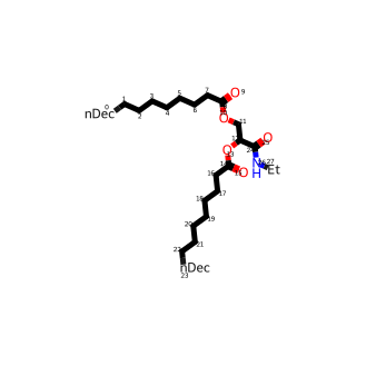 CCCCCCCCCCCCCCCCCC(=O)OCC(OC(=O)CCCCCCCCCCCCCCCCC)C(=O)NCC